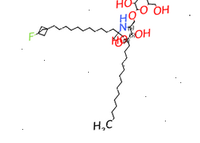 CCCCCCCCCCCCCC[C@@H](O)[C@@H](O)[C@H](COC1OC(CO)C(O)C(O)C1O)NC1(CCCCCCCCCCCC23CC(F)(C2)C3)COC1